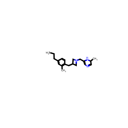 BCCc1ccc(CC2CN(CC3=CN=CC(C)N3)C2)c(C)c1